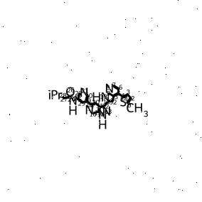 Cc1ccc(-c2ccnc3[nH]c(-c4n[nH]c5cnc(-c6cncc(NC(=O)CC(C)C)c6)cc45)cc23)s1